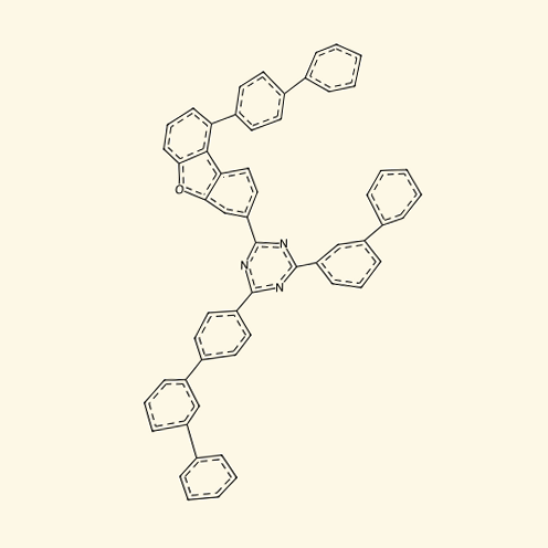 c1ccc(-c2ccc(-c3cccc4oc5cc(-c6nc(-c7ccc(-c8cccc(-c9ccccc9)c8)cc7)nc(-c7cccc(-c8ccccc8)c7)n6)ccc5c34)cc2)cc1